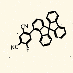 N#Cc1cc(C#N)c(-c2cccc3c2-c2ccccc2C32c3ccccc3-c3ccccc32)cc1F